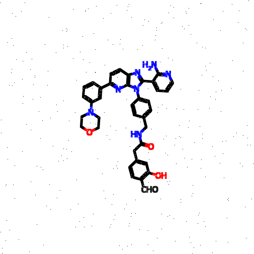 Nc1ncccc1-c1nc2ccc(-c3cccc(N4CCOCC4)c3)nc2n1-c1ccc(CNC(=O)Cc2ccc(C=O)c(O)c2)cc1